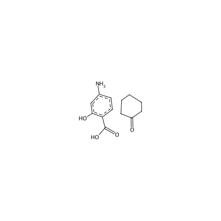 Nc1ccc(C(=O)O)c(O)c1.O=C1CCCCC1